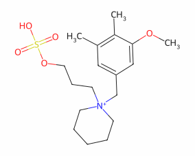 COc1cc(C[N+]2(CCCOS(=O)(=O)O)CCCCC2)cc(C)c1C